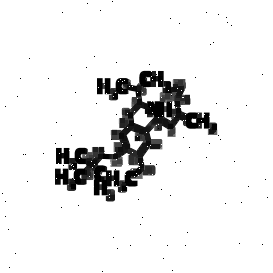 C=C(/C=C1\NC(C(C)C)Cc2cc(CCC(C)(C)C)c(CC)cc21)C1=CC1